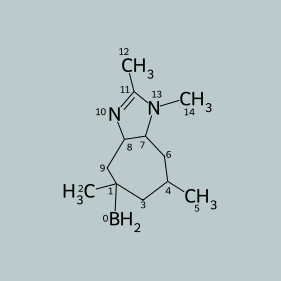 BC1(C)CC(C)CC2C(C1)N=C(C)N2C